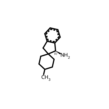 CC1CCC2(CC1)Cc1ccccc1[C@H]2N